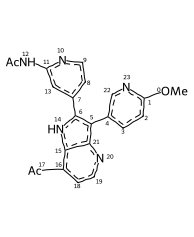 COc1ccc(-c2c(-c3ccnc(NC(C)=O)c3)[nH]c3c(C(C)=O)ccnc23)cn1